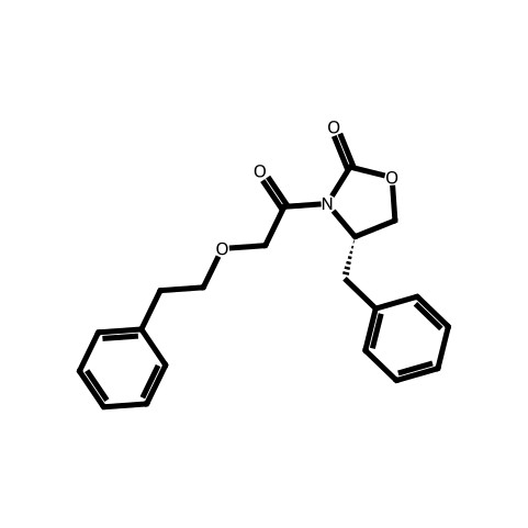 O=C(COCCc1ccccc1)N1C(=O)OC[C@@H]1Cc1ccccc1